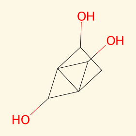 OC1CC23C(O)C12C3O